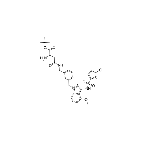 COc1cccc2c1c(NS(=O)(=O)c1ccc(Cl)s1)nn2Cc1cccc(CNC(=O)CC(N)C(=O)OC(C)(C)C)c1